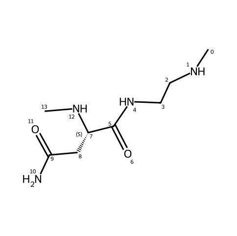 CNCCNC(=O)[C@H](CC(N)=O)NC